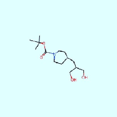 CC(C)(C)OC(=O)N1CCC(CC(CO)CO)CC1